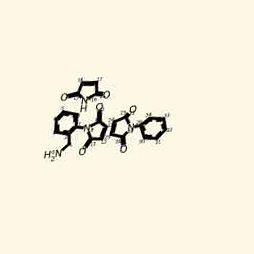 NCc1ccccc1N1C(=O)C=CC1=O.O=C1C=CC(=O)N1.O=C1C=CC(=O)N1c1ccccc1